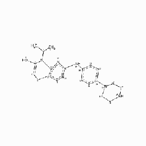 CC(C)C1C(O)=CCc2cnc(Nc3ccc(N4CCNCC4)cc3)nc21